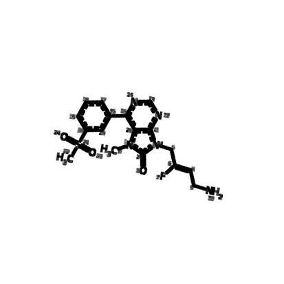 Cn1c(=O)n(CC(F)=CCN)c2ncnc(-c3cccc(S(C)(=O)=O)c3)c21